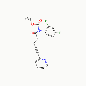 CC(C)(C)OC(=O)N(C(=O)CCC#Cc1ccccn1)c1ccc(F)cc1F